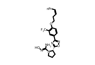 CCC/C=C\CCOc1ccc(-c2noc([C@@H]3CCCN3/C(N)=N/O)n2)cc1C(F)(F)F